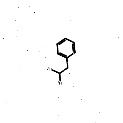 [2H]C([2H])Cc1ccccc1